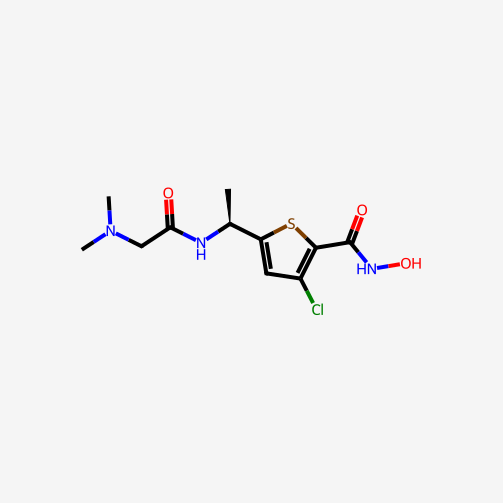 C[C@H](NC(=O)CN(C)C)c1cc(Cl)c(C(=O)NO)s1